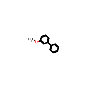 COc1c[c]cc(-c2ccccc2)c1